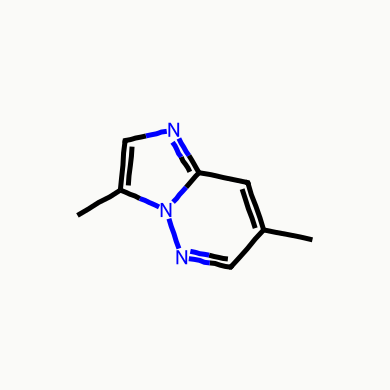 Cc1cnn2c(C)cnc2c1